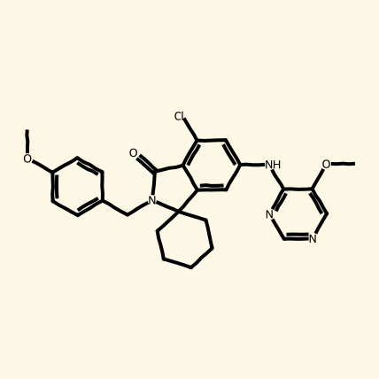 COc1ccc(CN2C(=O)c3c(Cl)cc(Nc4ncncc4OC)cc3C23CCCCC3)cc1